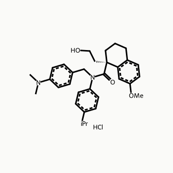 COc1ccc2c(c1)[C@@](CCO)(C(=O)N(Cc1ccc(N(C)C)cc1)c1ccc(C(C)C)cc1)CCC2.Cl